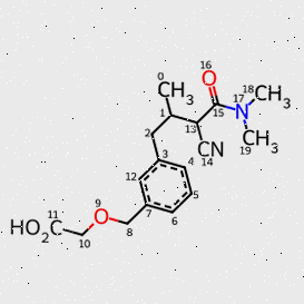 CC(Cc1cccc(COCC(=O)O)c1)C(C#N)C(=O)N(C)C